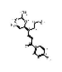 C=C/C(OC(C)C)=C(\C=C\C(=O)c1ccc(F)cc1)CCC